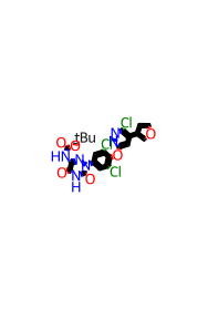 CC(C)(C)OC(=O)Nc1nn(-c2cc(Cl)c(Oc3cc(C4CCOC4)c(Cl)nn3)c(Cl)c2)c(=O)[nH]c1=O